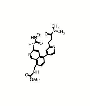 CCNC(=O)Nc1cc2c(-c3ccnc(CCC(=O)N(C)C)c3)ccc(CNC(=O)OC)c2cn1